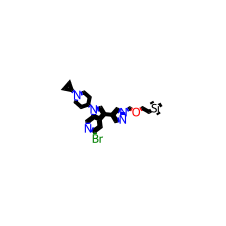 C[Si](C)(C)CCOCn1cc(-c2cn(C3CCN(C4CC4)CC3)c3cnc(Br)cc23)cn1